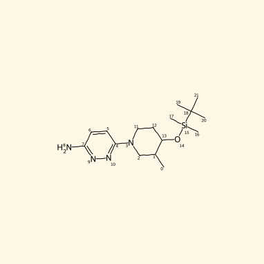 CC1CN(c2ccc(N)nn2)CCC1O[Si](C)(C)C(C)(C)C